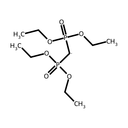 CCOP(=O)([CH]P(=O)(OCC)OCC)OCC